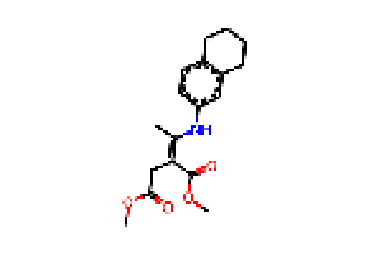 COC(=O)C/C(C(=O)OC)=C(\C)Nc1ccc2c(c1)CCCC2